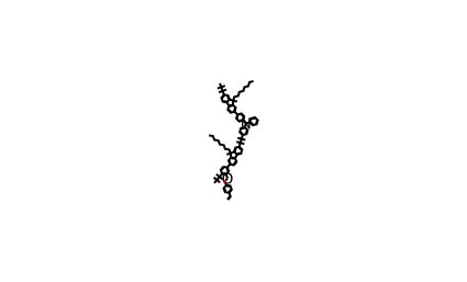 C=Cc1ccc(COc2cc(-c3ccc4c(c3)C(C)(CCCCCCCC)c3cc(C(C)(C)C(C)(C)c5ccc(N(c6ccccc6)c6ccc(-c7ccc8c(c7)C(C)(CCCCCCCC)c7cc(C(C)(C)C(C)(C)C)ccc7-8)cc6)cc5)ccc3-4)ccc2C(C)(C)C(C)(C)C)cc1